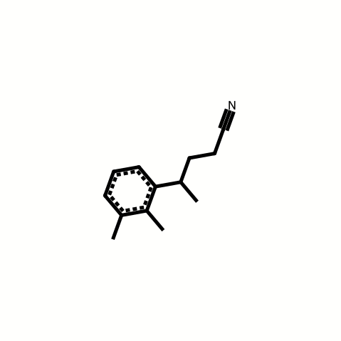 Cc1cccc(C(C)CCC#N)c1C